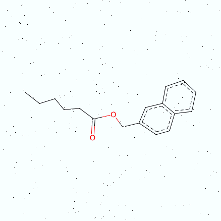 CCCCCC(=O)OCc1ccc2ccccc2c1